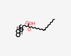 CCCCCCCC/C=C\CCCCCCCC(=O)C(C[C@@H](C)[C@H]1CC[C@H]2[C@@H]3CCC4CCCC[C@]4(C)[C@H]3CC[C@]12C)C(=O)O